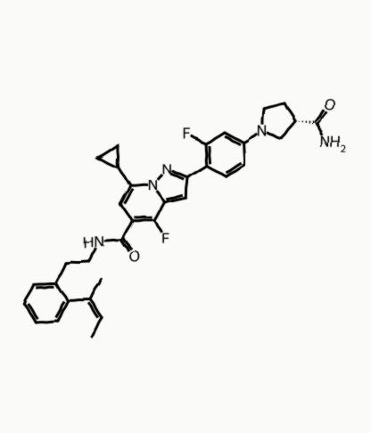 C/C=C(/C)c1ccccc1CCNC(=O)c1cc(C2CC2)n2nc(-c3ccc(N4CC[C@H](C(N)=O)C4)cc3F)cc2c1F